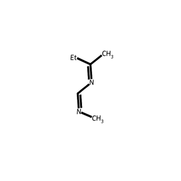 CC/C(C)=N\C=N/C